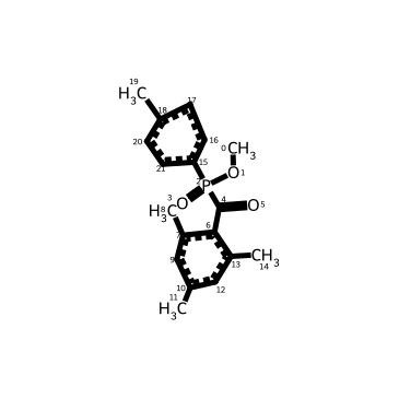 COP(=O)(C(=O)c1c(C)cc(C)cc1C)c1ccc(C)cc1